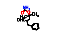 CC(C)(CC(C=O)Cc1ccccc1)OC(N)=O